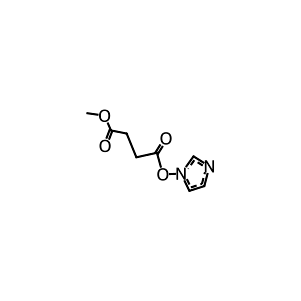 COC(=O)CCC(=O)On1ccnc1